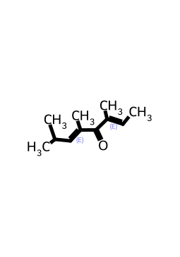 C/C=C(\C)C(=O)/C(C)=C/C(C)C